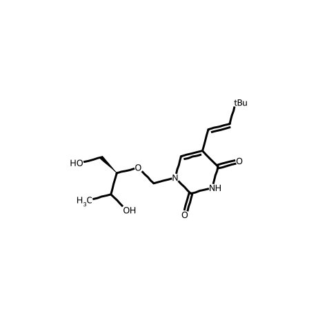 CC(O)[C@@H](CO)OCn1cc(/C=C/C(C)(C)C)c(=O)[nH]c1=O